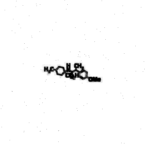 COc1ccc(C(C)C(=O)NC2(C(=O)O)CCC(C)CC2)cc1